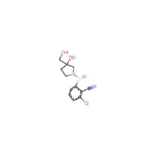 N#Cc1c(Cl)cccc1[S+]([O-])N1CCC(O)(CO)C1